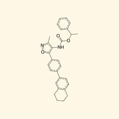 Cc1noc(-c2ccc(-c3ccc4c(c3)CCCC4)cc2)c1NC(=O)OC(C)c1ccccc1